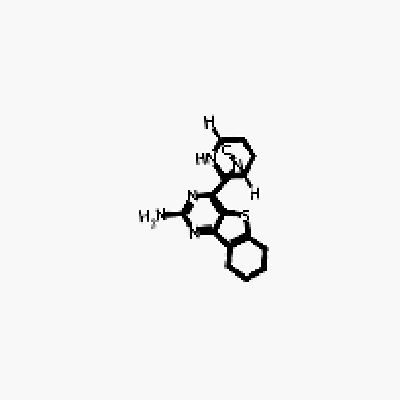 Nc1nc(N2C[C@H]3CC[C@@H]2CN3)c2sc3c(c2n1)CCCC3